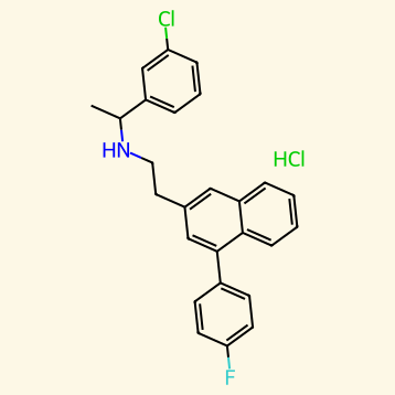 CC(NCCc1cc(-c2ccc(F)cc2)c2ccccc2c1)c1cccc(Cl)c1.Cl